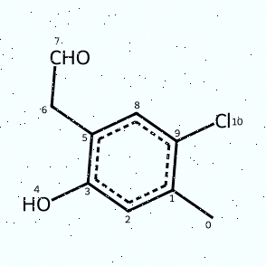 Cc1cc(O)c(CC=O)cc1Cl